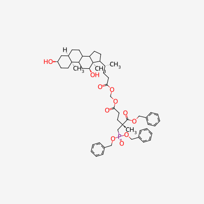 C[C@H](CCC(=O)OCOC(=O)CC[C@@](C)(CP(=O)(OCc1ccccc1)OCc1ccccc1)C(=O)OCc1ccccc1)C1CCC2C3CC[C@@H]4C[C@H](O)CC[C@]4(C)C3C[C@H](O)[C@@]21C